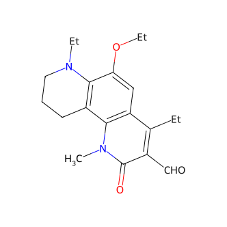 CCOc1cc2c(CC)c(C=O)c(=O)n(C)c2c2c1N(CC)CCC2